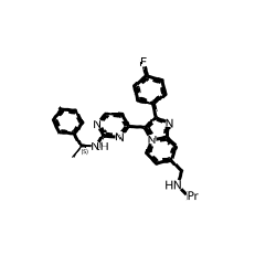 CC(C)NCc1ccn2c(-c3ccnc(N[C@@H](C)c4ccccc4)n3)c(-c3ccc(F)cc3)nc2c1